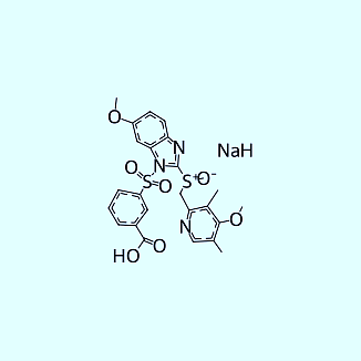 COc1ccc2nc([S+]([O-])Cc3ncc(C)c(OC)c3C)n(S(=O)(=O)c3cccc(C(=O)O)c3)c2c1.[NaH]